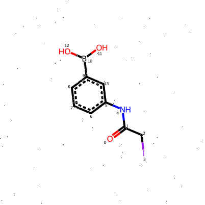 O=C(CI)Nc1cccc(B(O)O)c1